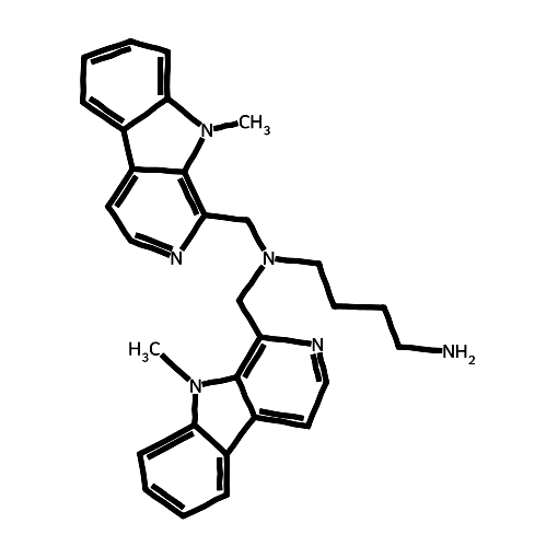 Cn1c2ccccc2c2ccnc(CN(CCCCN)Cc3nccc4c5ccccc5n(C)c34)c21